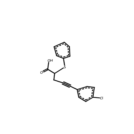 O=C(O)C(CC#Cc1ccc(Cl)cc1)Sc1ccccc1